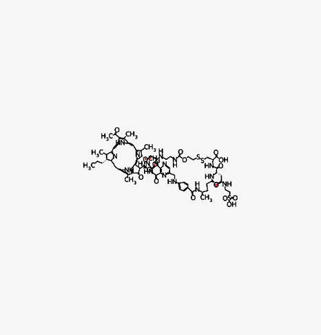 CCC[C@H]1C2Cc3[nH]c4c(c3C)C(=O)C(C(=O)OC)/C4=C3N=C(/C=c4\[nH]/c(c(C(C)=O)c4C)=C\C(=N2)[C@@H]1C)[C@@H](C)[C@@H]/3CCC(=O)NCCNC(=O)OCCSSC[C@H](NC(=O)[C@H](CC(=O)NCCS(=O)(=O)O)NC(=O)CC[C@@H](C)NC(=O)c1ccc(NCc2cnc3nc(N)[nH]c(=O)c3n2)cc1)C(=O)O